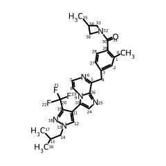 Cc1cc(Cc2nccn3c(-c4cn(CC(C)C)nc4C(F)(F)F)cnc23)ccc1C(=O)N1CC(C)C1